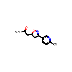 COC(=O)CC1CC(c2ccc(C#N)nc2)=NO1